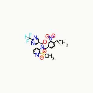 C=Cc1ccc(CN(C(=O)c2cnc(C(F)(F)F)nc2)c2cccnc2S(C)(=O)=O)cc1[N+](=O)[O-]